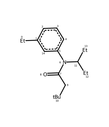 CCc1cccc(N(C(=O)CC(C)(C)C)C(CC)CC)c1